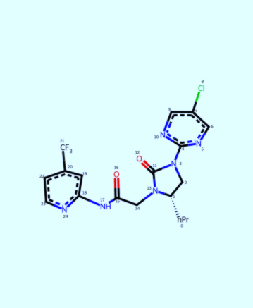 CCC[C@H]1CN(c2ncc(Cl)cn2)C(=O)N1CC(=O)Nc1cc(C(F)(F)F)ccn1